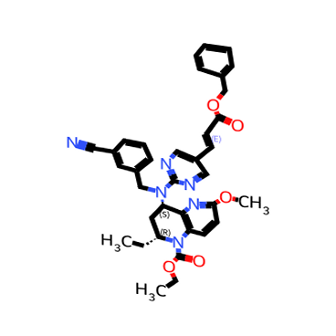 CCOC(=O)N1c2ccc(OC)nc2[C@@H](N(Cc2cccc(C#N)c2)c2ncc(/C=C/C(=O)OCc3ccccc3)cn2)C[C@H]1CC